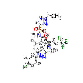 CCn1ncc(S(=O)(=O)N2CCC3Cc4c(cnn4-c4ccc(F)cc4)CC3(C(=O)c3cc(C(F)(F)F)ccn3)C2)n1